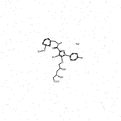 CCOc1cccc(CN(C)C(=O)c2nn(-c3ccc(F)cc3)c(OC[C@@H](O)C[C@@H](O)CC(=O)[O-])c2C(C)C)c1.[Na+]